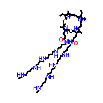 CCNCCCCNCCCCNCCCCNCCCCNC(=O)CCC1=C(C)c2cc3[nH]c(cc4nc(cc5[nH]c(cc1n2)c(CCC(=O)NCCCCNCCCCNCCCCNCCCCNCC)c5C)C(CC)=C4C)c(CC)c3C